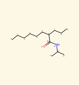 CCCCCCC(CCC)C(=O)NC(C)C